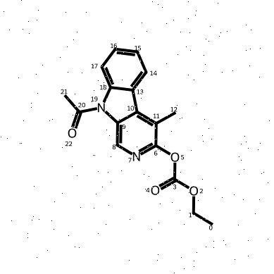 CCOC(=O)Oc1ncc2c(c1C)c1ccccc1n2C(C)=O